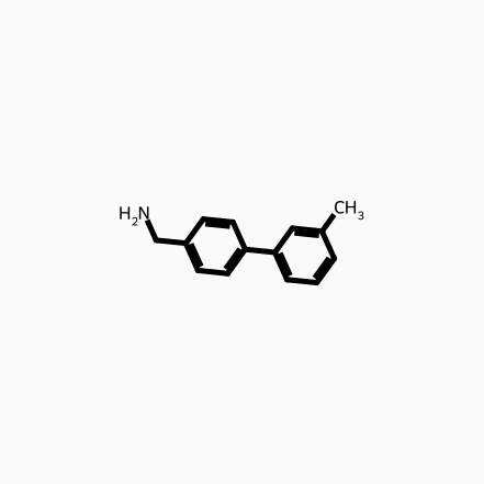 Cc1cccc(-c2ccc(CN)cc2)c1